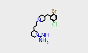 N=C(N)N1CCCC(CCCN2CCC(Cc3cc(Cl)ccc3Br)CC2)C1